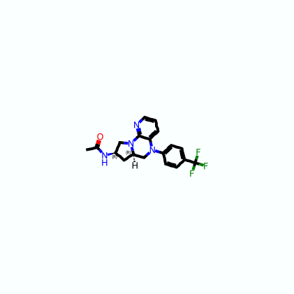 CC(=O)N[C@@H]1C[C@@H]2CN(c3ccc(C(F)(F)F)cc3)c3cccnc3N2C1